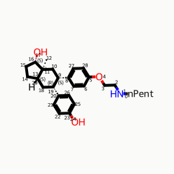 CCCCCNCCOc1ccc([C@H]2C[C@@]3(C)[C@@H](CC[C@@H]3O)C[C@H]2c2ccc(O)cc2)cc1